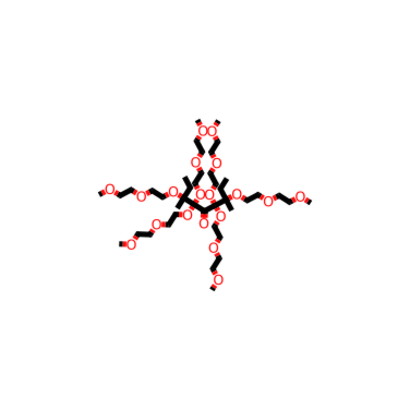 CCC(C)(OCCOCCOC)C(OCCOCCOC)(OCCOCCOC)C(=O)C(OCCOCCOC)(OCCOCCOC)C(C)(CC)OCCOCCOC